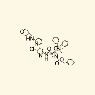 CC(C)(C)[Si](O[C@@H]1CN(C(=O)OCc2ccccc2)C[C@@H]1C(=O)Nc1cc(-c2cccc(NCC3CCOCC3)n2)c(Cl)cn1)(c1ccccc1)c1ccccc1